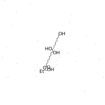 CCC(CO)OC(=O)CCCCCCCC(O)C(O)CCCCCCCCO